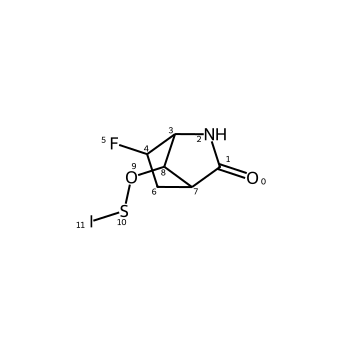 O=C1NC2C(F)CC1C2OSI